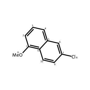 COc1cccc2cc(Cl)ccc12